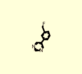 FCc1cccc(-c2cn[c]nc2)c1